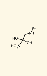 CCNCC(O)(O)S(=O)(=O)O